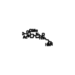 COC(=O)c1cc(-c2ccc(C(=O)NCCCc3cn[nH]c3)cn2)ccc1N(CC1CC1)C(C)=O